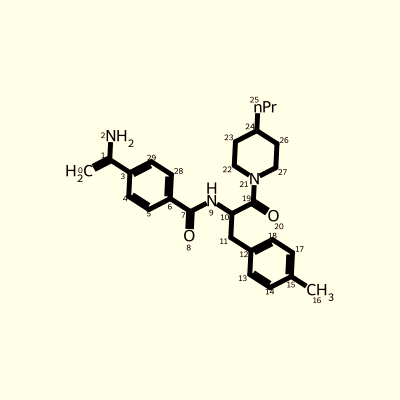 C=C(N)c1ccc(C(=O)NC(Cc2ccc(C)cc2)C(=O)N2CCC(CCC)CC2)cc1